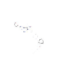 Cn1c(=O)n(CCN2CCN(c3cc(C(=O)NC[C@H](O)CO)c(F)cc3F)CC2)c2nc(N)n3nc(-c4ccco4)nc3c21